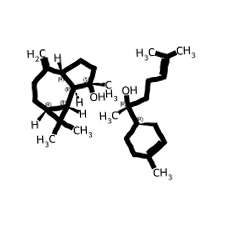 C=C1CC[C@@H]2[C@H]([C@H]3[C@H]1CC[C@]3(C)O)C2(C)C.CC(C)=CCC[C@@](C)(O)[C@H]1CC=C(C)CC1